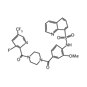 COc1cc(C(=O)N2CCN(C(=O)c3ncc(C(F)(F)F)cc3F)CC2)ccc1NS(=O)(=O)c1cccc2cccnc12